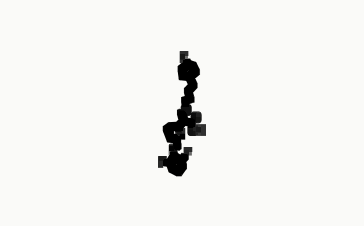 O=C(O)C(=COCCCCc1ccc(F)cc1)c1cccc(CSc2c(F)cccc2F)n1